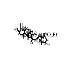 CCOC(=O)N1C[C@@H](C)C[C@H]2O[C@]3(CC[C@@H]4C(=C(C)C3)C[C@H]3[C@H]4CC[C@@H]4NC(=O)CC[C@@]43C)[C@H](C)[C@@H]21